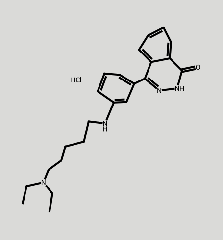 CCN(CC)CCCCCNc1cccc(-c2n[nH]c(=O)c3ccccc23)c1.Cl